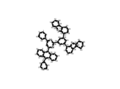 c1ccc(-c2cc(-c3c4ccccc4c(-c4ccncc4)c4ccccc34)nc(-c3cc(-c4cccc5c4sc4ccccc45)cc(-c4cccc5c4sc4ccccc45)c3)n2)cc1